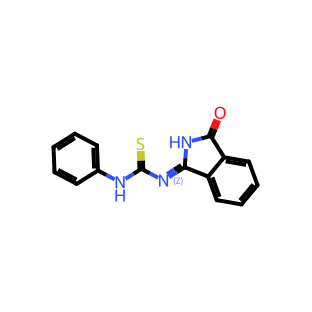 O=C1N/C(=N\C(=S)Nc2ccccc2)c2ccccc21